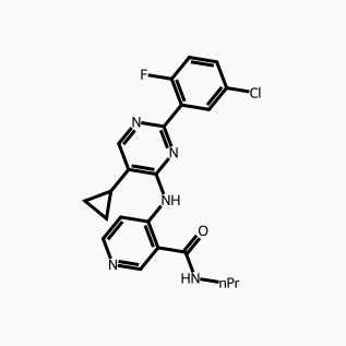 CCCNC(=O)c1cnccc1Nc1nc(-c2cc(Cl)ccc2F)ncc1C1CC1